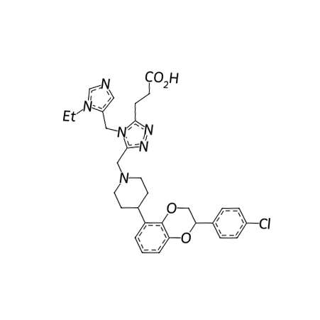 CCn1cncc1Cn1c(CCC(=O)O)nnc1CN1CCC(c2cccc3c2OCC(c2ccc(Cl)cc2)O3)CC1